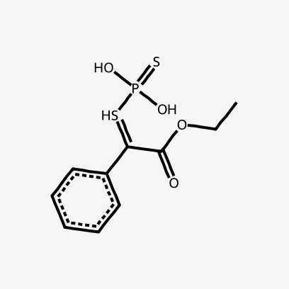 CCOC(=O)C(=[SH]P(O)(O)=S)c1ccccc1